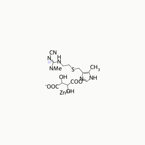 CN/C(=N/C#N)NCCSCc1nc[nH]c1C.O=C([O-])C(O)C(O)C(=O)[O-].[Zn+2]